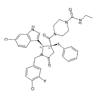 CCNC(=O)N1CCN(C(=O)[C@]2(Sc3ccccc3)CC(=O)N(Cc3ccc(Cl)c(F)c3)[C@H]2c2c[nH]c3cc(Cl)ccc23)CC1